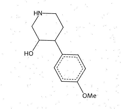 COc1ccc(C2CCNCC2O)cc1